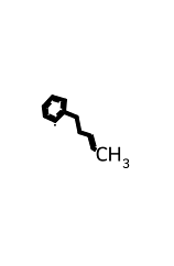 CC=CCCc1[c]cccc1